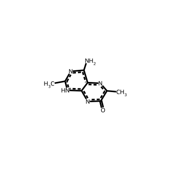 Cc1nc(N)c2nc(C)c(=O)nc-2[nH]1